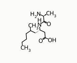 CCCCC(C)C[C@@H](CC(=O)O)NC(=O)[C@H](C)N